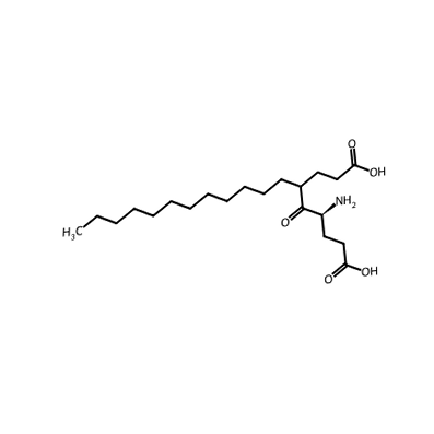 CCCCCCCCCCCCC(CCC(=O)O)C(=O)[C@@H](N)CCC(=O)O